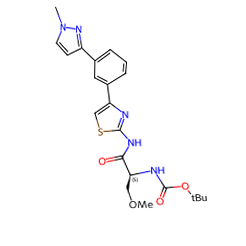 COC[C@H](NC(=O)OC(C)(C)C)C(=O)Nc1nc(-c2cccc(-c3ccn(C)n3)c2)cs1